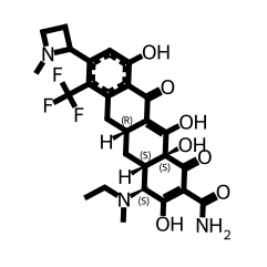 CCN(C)[C@@H]1C(O)=C(C(N)=O)C(=O)[C@@]2(O)C(O)=C3C(=O)c4c(O)cc(C5CCN5C)c(C(F)(F)F)c4C[C@H]3C[C@@H]12